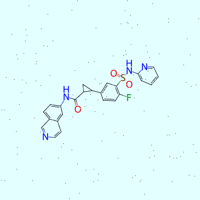 O=C(Nc1ccc2cnccc2c1)C1CC1c1ccc(F)c(S(=O)(=O)Nc2ccccn2)c1